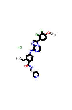 CCc1cc(Nc2nccn3c(-c4ccc(OC)c(F)c4F)cnc23)ccc1C(=O)NC[C@@H]1CCNC1.Cl